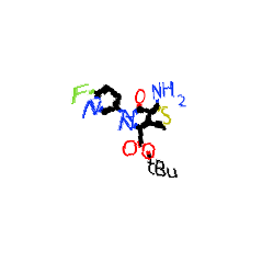 CC(C)(C)OC(=O)c1nn(-c2ccc(F)nc2)c(=O)c2c(N)scc12